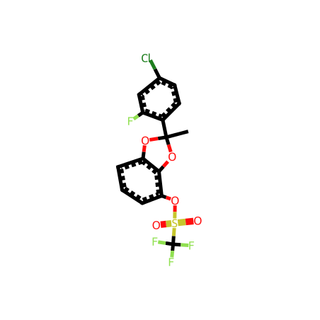 CC1(c2ccc(Cl)cc2F)Oc2cccc(OS(=O)(=O)C(F)(F)F)c2O1